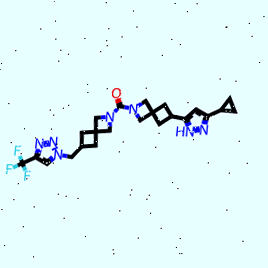 O=C(N1CC2(CC(Cn3cc(C(F)(F)F)nn3)C2)C1)N1CC2(CC(c3cc(C4CC4)n[nH]3)C2)C1